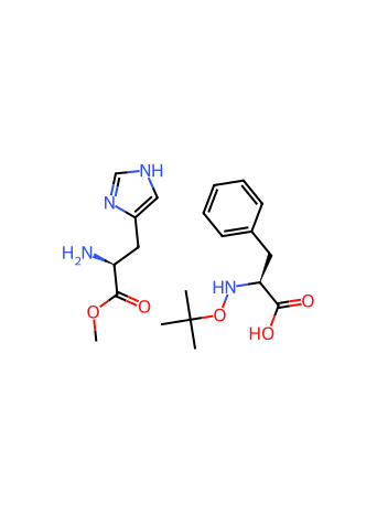 CC(C)(C)ON[C@@H](Cc1ccccc1)C(=O)O.COC(=O)[C@@H](N)Cc1c[nH]cn1